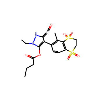 CCCC(=O)OC1=C(c2ccc3c(c2C)S(=O)(=O)CCS3(=O)=O)C(=C=O)NN1CC